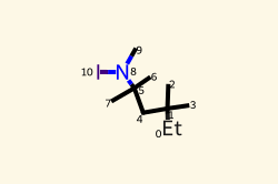 CCC(C)(C)CC(C)(C)N(C)I